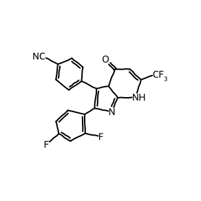 N#Cc1ccc(C2=C(c3ccc(F)cc3F)N=C3NC(C(F)(F)F)=CC(=O)C32)cc1